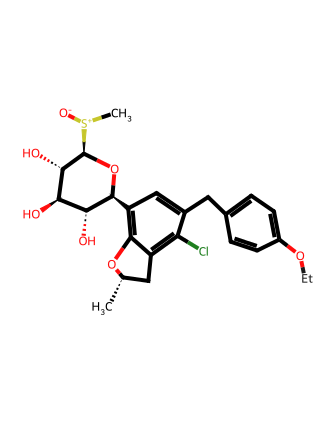 CCOc1ccc(Cc2cc([C@@H]3O[C@H]([S+](C)[O-])[C@@H](O)[C@H](O)[C@H]3O)c3c(c2Cl)C[C@H](C)O3)cc1